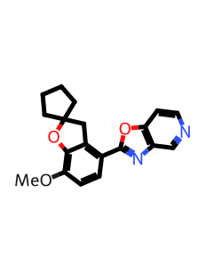 COc1ccc(-c2nc3cnccc3o2)c2c1OC1(CCCC1)C2